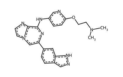 CN(C)CCOc1ccc(Nc2nc(-c3ccc4cn[nH]c4c3)cn3ccnc23)cn1